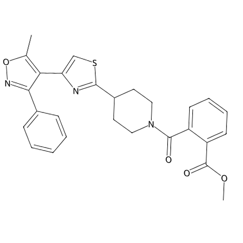 COC(=O)c1ccccc1C(=O)N1CCC(c2nc(-c3c(-c4ccccc4)noc3C)cs2)CC1